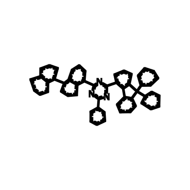 c1ccc(-c2nc(-c3cccc4c3-c3ccccc3C4(c3ccccc3)c3ccccc3)nc(-c3cccc4c(-c5cccc6ccccc56)cccc34)n2)cc1